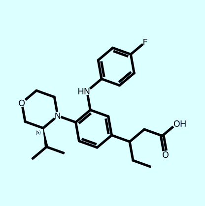 CCC(CC(=O)O)c1ccc(N2CCOC[C@@H]2C(C)C)c(Nc2ccc(F)cc2)c1